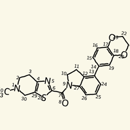 CN1CCc2nc(C(=O)N3CCc4c(-c5ccc6c(c5)OCCO6)cccc43)sc2C1